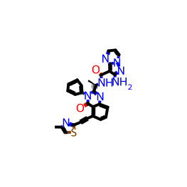 Cc1csc(C#Cc2cccc3nc([C@@H](C)NC(=O)c4c(N)nn5cccnc45)n(-c4ccccc4)c(=O)c23)n1